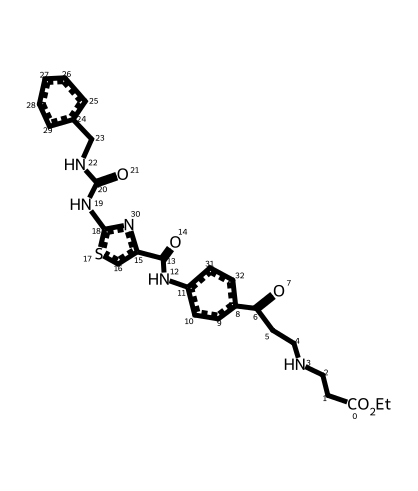 CCOC(=O)CCNCCC(=O)c1ccc(NC(=O)c2csc(NC(=O)NCc3ccccc3)n2)cc1